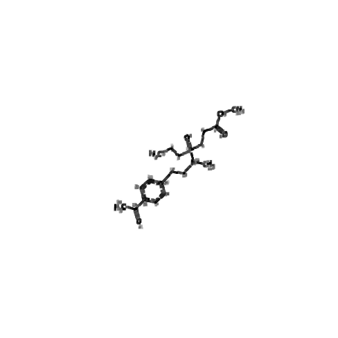 CCCP(=O)(CCC(=O)OC)N(C)CCc1ccc(C(C)=O)cc1